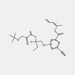 C=C/C=C(/C)SC(=C)c1cc(C#N)cc(OCC(F)(CC)CC(=C)C(=O)COC(C)(C)C)c1